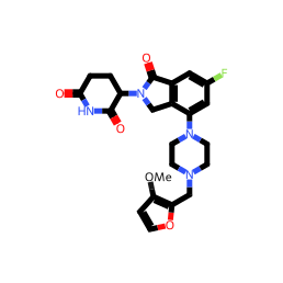 COc1ccoc1CN1CCN(c2cc(F)cc3c2CN(C2CCC(=O)NC2=O)C3=O)CC1